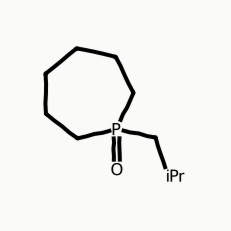 CC(C)CP1(=O)CCCCCC1